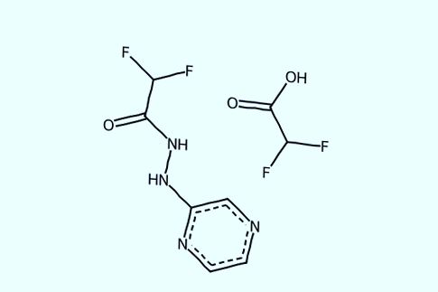 O=C(NNc1cnccn1)C(F)F.O=C(O)C(F)F